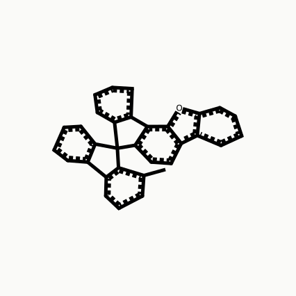 Cc1cccc2c1C1(c3ccccc3-2)c2ccccc2-c2c1ccc1c2oc2ccccc21